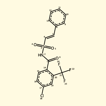 O=C(NS(=O)(=O)C=Cc1ccccc1)c1ccc(Cl)cc1C(F)(F)F